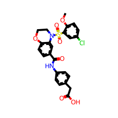 COc1ccc(Cl)cc1S(=O)(=O)N1CCOc2ccc(C(=O)Nc3ccc(CC(=O)O)cc3)cc21